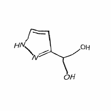 OC(O)c1cc[nH]n1